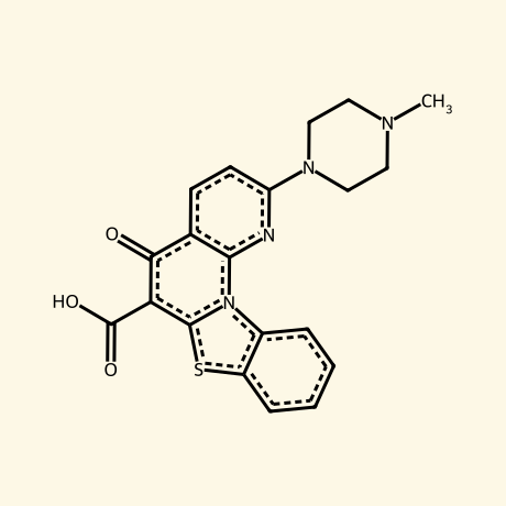 CN1CCN(c2ccc3c(=O)c(C(=O)O)c4sc5ccccc5n4c3n2)CC1